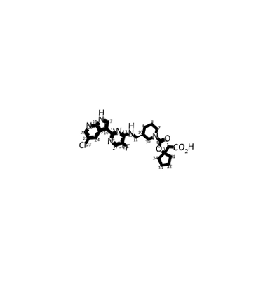 O=C(O)CC1(OC(=O)N2CCC[C@H](CNc3nc(-c4c[nH]c5ncc(Cl)cc45)ncc3F)C2)CCCC1